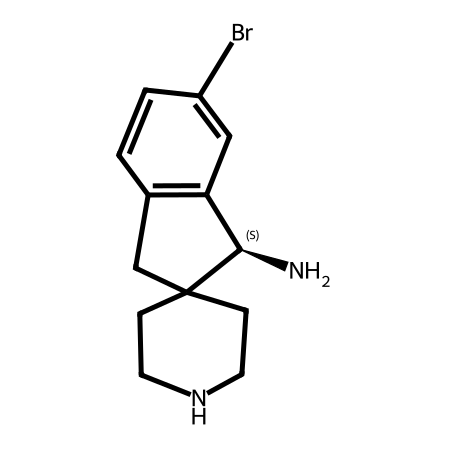 N[C@@H]1c2cc(Br)ccc2CC12CCNCC2